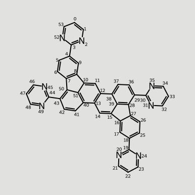 c1cnc(-c2ccc3c(c2)c2cc4c(cc5c6cc(-c7ncccn7)ccc6c6c(-c7ncccn7)ccc4c56)c4ccc(-c5ncccn5)c3c42)nc1